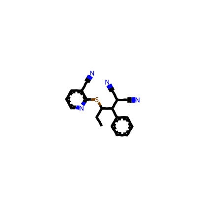 CCC(Sc1ncccc1C#N)C(c1ccccc1)C(C#N)C#N